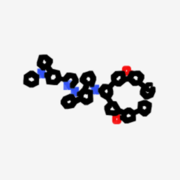 c1ccc(-c2ccc3oc4ccc(-c5cc(-c6ccc7oc8ccc(-c9ccccc9)cc8c7c6)cc(-n6c7ccccc7c7c6ccc6c8ccccc8n(-c8cccc(-c9ccc%10c(c9)c9ccccc9n%10-c9ccccc9)n8)c67)c5)cc4c3c2)cc1